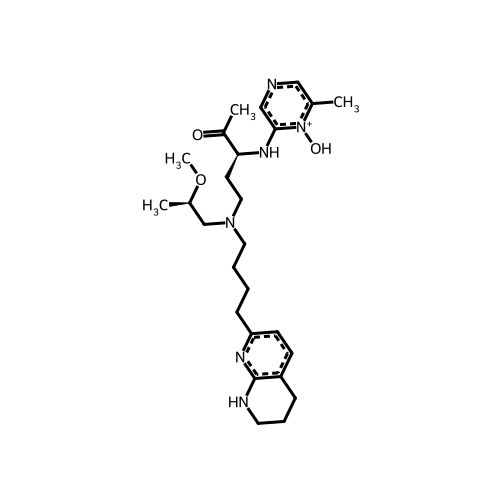 CO[C@H](C)CN(CCCCc1ccc2c(n1)NCCC2)CC[C@H](Nc1cncc(C)[n+]1O)C(C)=O